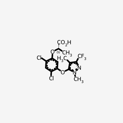 Cc1c(C(F)(F)F)nn(C)c1Oc1cc(O[C@@H](C)C(=O)O)c(Cl)cc1Cl